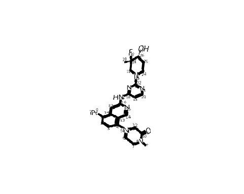 CC(C)c1ccc(N2CCN(C)C(=O)C2)c2cnc(Nc3ccnc(N4CC[C@@H](O)[C@@](C)(F)C4)n3)cc12